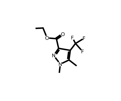 CCOC(=O)c1nn(C)c(C)c1C(F)(F)F